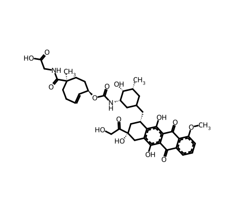 COc1cccc2c1C(=O)c1c(O)c3c(c(O)c1C2=O)C[C@@](O)(C(=O)CO)C[C@@H]3CC1C[C@@H](C)[C@@H](O)[C@@H](NC(=O)O[C@H]2/C=C/CC[C@@](C)(C(=O)NCC(=O)O)CC2)C1